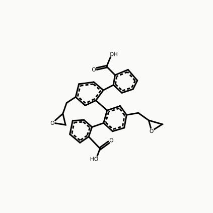 O=C(O)c1ccccc1-c1ccc(CC2CO2)cc1-c1cc(CC2CO2)ccc1-c1ccccc1C(=O)O